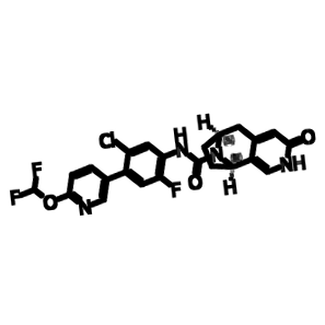 O=C(Nc1cc(Cl)c(-c2ccc(OC(F)F)nc2)cc1F)N1[C@H]2CC[C@@H]1c1c[nH]c(=O)cc1C2